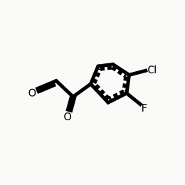 O=CC(=O)c1ccc(Cl)c(F)c1